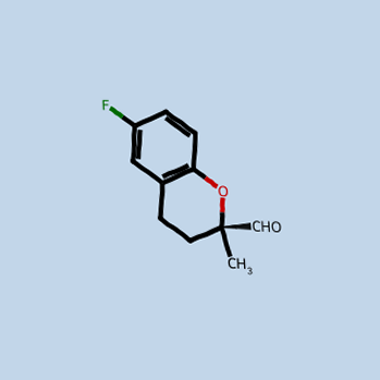 C[C@]1(C=O)CCc2cc(F)ccc2O1